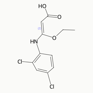 CCO/C(=C\C(=O)O)Nc1ccc(Cl)cc1Cl